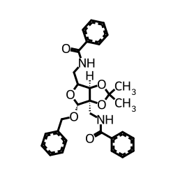 CC1(C)O[C@@H]2C(CNC(=O)c3ccccc3)O[C@@H](OCc3ccccc3)[C@]2(CNC(=O)c2ccccc2)O1